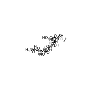 NCC(=O)NCC(=O)NCC(=O)N[C@@H](CO)C(=O)NCC(=O)NCC(=O)N[C@@H](CO)C(=O)N[C@@H](CC(=O)O)C(=O)N[C@@H](CS)C(=O)O